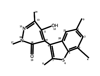 Cc1cc(C)c2sc(C)c(-c3c(O)c(C)nn(C)c3=O)c2c1